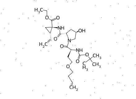 C=CCCOCC[C@H](NC(=O)OC(C)(C)C)C(=O)N1C[C@H](O)C[C@H]1C(=O)N[C@]1(C(=O)OCC)C[C@H]1C=C